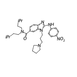 CC(C)CCN(CCC(C)C)C(=O)c1ccc2nc(Nc3ccc([N+](=O)[O-])cc3)n(CCCN3CCCC3)c2c1